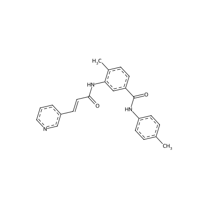 Cc1ccc(NC(=O)c2ccc(C)c(NC(=O)/C=C/c3cccnc3)c2)cc1